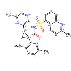 COc1ccc(C)cc1[C@@]1(C(=O)NS(=O)(=O)c2cccc3nc(C)ccc23)C[C@H]1c1cncc(C)n1